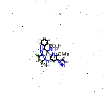 COc1ncc(Nc2nc(N[C@@H](c3ccccc3)[C@H](C)NC(=O)O)c(F)cc2C#N)cc1-n1ccnn1